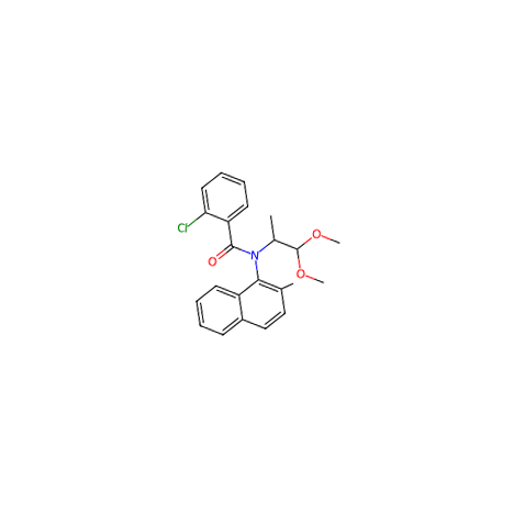 COC(OC)C(C)N(C(=O)c1ccccc1Cl)c1c(C)ccc2ccccc12